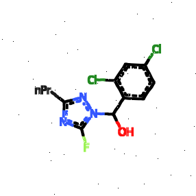 CCCc1nc(F)n(C(O)c2ccc(Cl)cc2Cl)n1